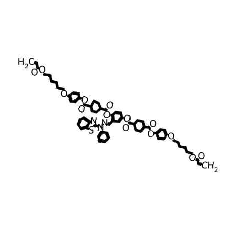 C=CC(=O)OCCCCCCOc1ccc(OC(=O)C2CCC(C(=O)Oc3ccc(OC(=O)C4CCC(C(=O)Oc5ccc(OCCCCCCOC(=O)C=C)cc5)CC4)c(/C=N/N(c4ccccc4)c4nc5ccccc5s4)c3)CC2)cc1